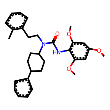 COc1cc(OC)c(NC(=O)N(CCc2ccccc2C)C2CCC(c3ccccc3)CC2)c(OC)c1